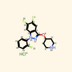 Cl.Fc1cc2c(OC3CCNCC3)nn(-c3ccccc3F)c2cc1F